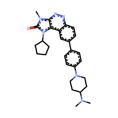 CN(C)C1CCN(c2ccc(-c3ccc4nnc5c(c4c3)n(C3CCCC3)c(=O)n5C)cc2)CC1